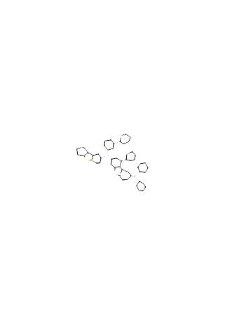 c1ccc(-c2cccc(N(c3cc(-c4ccccc4)c4c(c3)oc3ccc(N(c5ccccc5)c5ccccc5)cc34)c3ccc4sc5ccccc5c4c3)c2)cc1